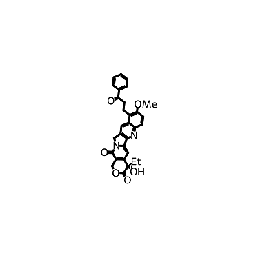 CC[C@@]1(O)C(=O)OCc2c1cc1n(c2=O)Cc2cc3c(CCC(=O)c4ccccc4)c(OC)ccc3nc2-1